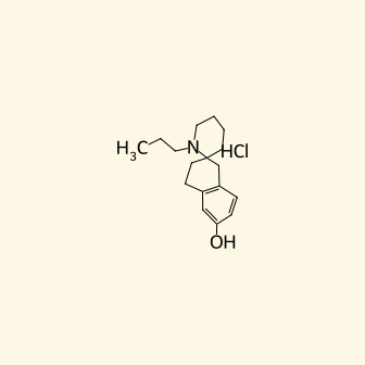 CCCN1CCCCC12CCc1cc(O)ccc1C2.Cl